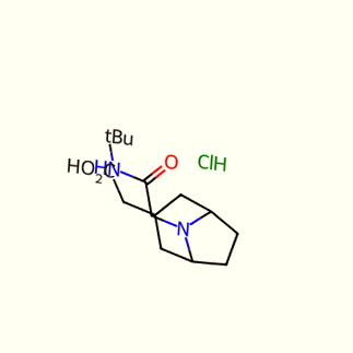 CC(C)(C)NC(=O)CN1C2CCC1CC(CC(=O)O)C2.Cl